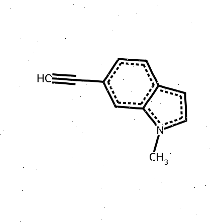 C#Cc1ccc2ccn(C)c2c1